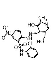 Cc1ncc(CO)c(/C=N/Nc2ccc([N+](=O)[O-])cc2S(=O)(=O)Nc2ccccc2Cl)c1O